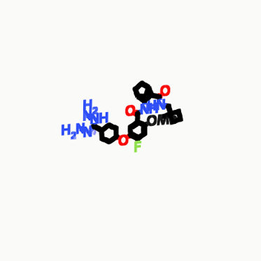 COc1cc(F)c(OC2CCC(/C(=N/N)NN)CC2)cc1C(=O)NC1C2CCC(C2)C1C(=O)NCC1(C)CCC1